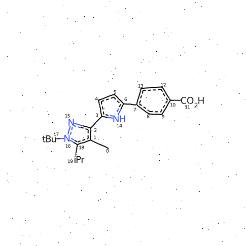 Cc1c(-c2ccc(-c3ccc(C(=O)O)cc3)[nH]2)nn(C(C)(C)C)c1C(C)C